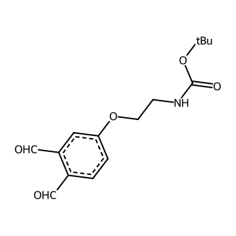 CC(C)(C)OC(=O)NCCOc1ccc(C=O)c(C=O)c1